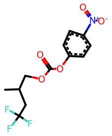 CC(COC(=O)Oc1ccc([N+](=O)[O-])cc1)CC(F)(F)F